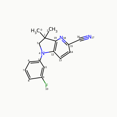 CC1(C)CN(c2cccc(F)c2)c2ccc(C#N)nc21